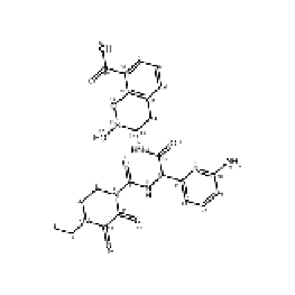 CCN1CCN(C(=O)NC(C(=O)N[C@H]2Cc3cccc(C(=O)O)c3OB2O)c2cccc(N)n2)C(=O)C1=O